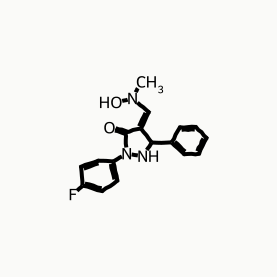 CN(O)C=C1C(=O)N(c2ccc(F)cc2)NC1c1ccccc1